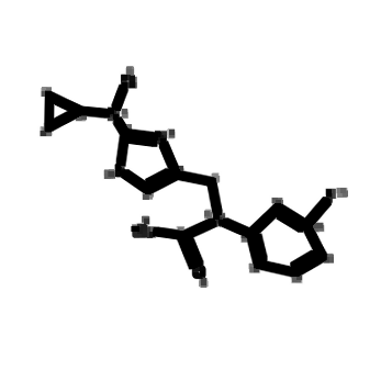 CCN(c1nc(CN(C(=O)C(C)(C)C)c2cccc(F)c2)cs1)C1CC1